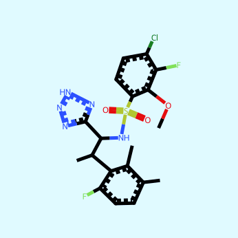 COc1c(S(=O)(=O)NC(c2nn[nH]n2)C(C)c2c(F)ccc(C)c2C)ccc(Cl)c1F